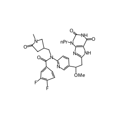 CCCn1c(=O)[nH]c(=O)c2[nH]c(CC(OC)c3ccc(N(CC4CC(=O)N(C)C4)C(=O)c4ccc(F)c(F)c4)nc3)nc21